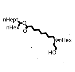 CCCCCCCC(CCCCCC)OC(=O)CCCCCCCN(CCO)CCCCCC